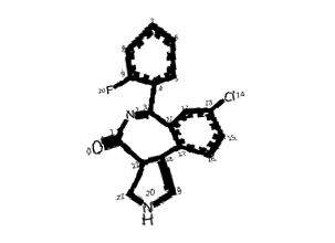 O=C1N=C(c2ccccc2F)c2cc(Cl)ccc2C2=CNCC12